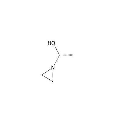 C[C@@H](O)N1CC1